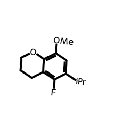 COc1cc(C(C)C)c(F)c2c1OCCC2